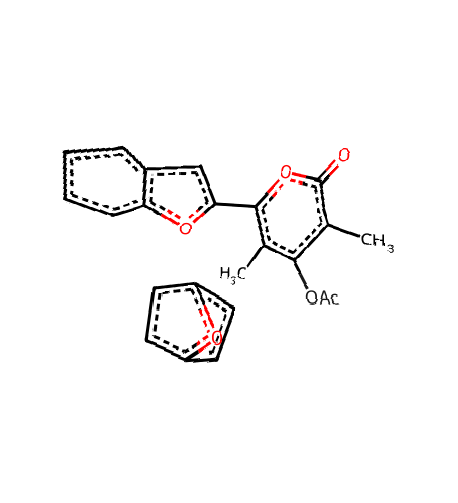 CC(=O)Oc1c(C)c(-c2cc3ccccc3o2)oc(=O)c1C.c1cc2ccc1o2